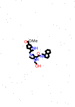 COC(=O)c1ccc2c(CN3CCc4c(c(C(=O)NCc5cccc6ccccc56)nn4CCO)C3)c[nH]c2c1